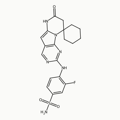 NS(=O)(=O)c1ccc(Nc2ncc3cc4n(c3n2)C2(CCCCC2)CC(=O)N4)c(F)c1